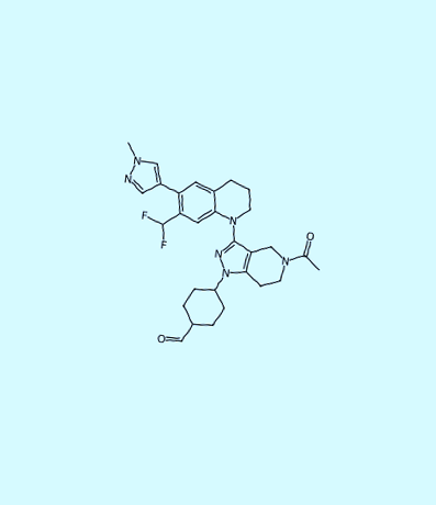 CC(=O)N1CCc2c(c(N3CCCc4cc(-c5cnn(C)c5)c(C(F)F)cc43)nn2C2CCC(C=O)CC2)C1